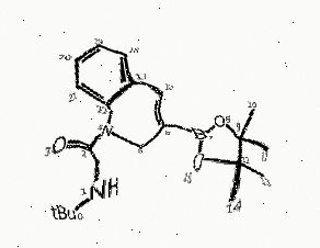 CC(C)(C)NC(=O)N1CC(B2OC(C)(C)C(C)(C)O2)=Cc2ccccc21